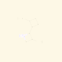 CC1CCC1C1NCC1C